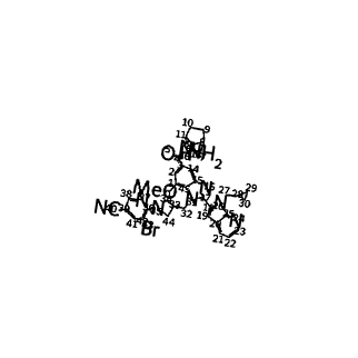 COc1cc(C(=O)N2CC3CCC2[C@@H]3N)cc2nc(-c3cc4cccnc4n3CC3CC3)n(CC3CN(c4ncc(C#N)cc4Br)C3)c12